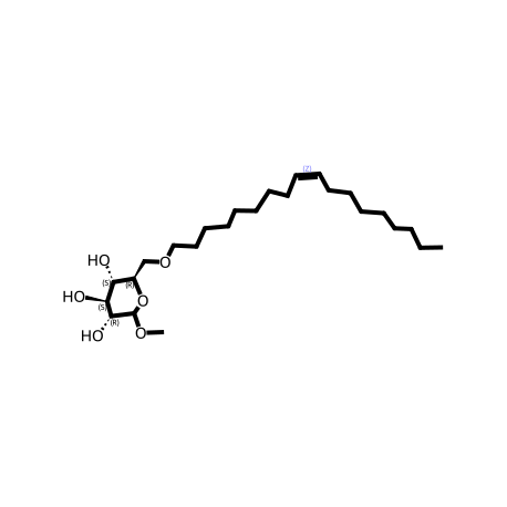 CCCCCCCC/C=C\CCCCCCCCOC[C@H]1OC(OC)[C@H](O)[C@@H](O)[C@@H]1O